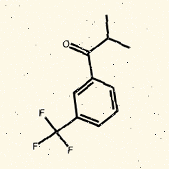 CC(C)C(=O)c1cccc(C(F)(F)F)c1